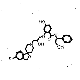 O=C(NC(CO)c1ccccc1)c1ccc(O)cc1OC[C@@H](O)CN1CCC2(CC1)OCc1cc(Cl)ccc12